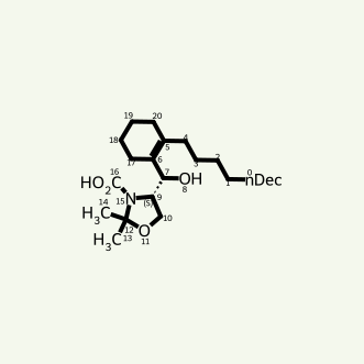 CCCCCCCCCCCCCCC1=C(C(O)[C@@H]2COC(C)(C)N2C(=O)O)CCCC1